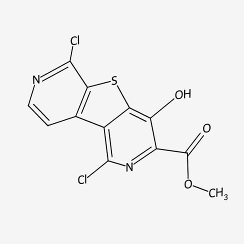 COC(=O)c1nc(Cl)c2c(sc3c(Cl)nccc32)c1O